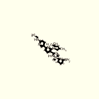 CC(C)CNc1ccc(-c2ccc(C(=O)NS(=O)(=O)c3cccc(N)n3)c(N3CC(C)CC3(C)C)n2)cn1